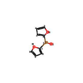 [O-][S+](c1ccco1)c1ccco1